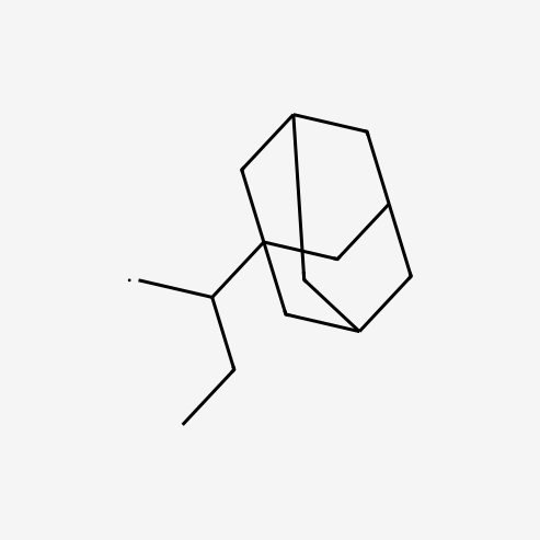 [CH2]C(CC)C12CC3CC(CC(C3)C1)C2